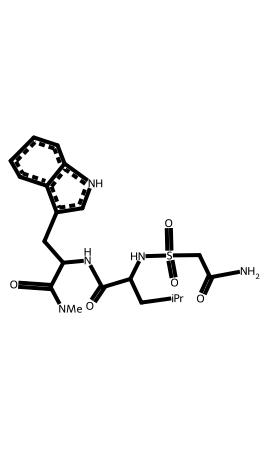 CNC(=O)C(Cc1c[nH]c2ccccc12)NC(=O)C(CC(C)C)NS(=O)(=O)CC(N)=O